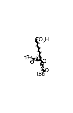 CC(C)(C)C(=O)OCOC(=O)C(CCCCCCCCC(=O)O)COC(=O)C(C)(C)C